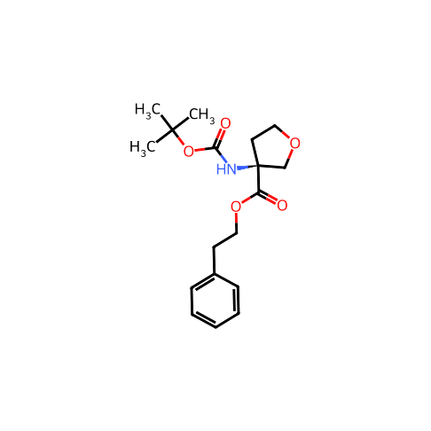 CC(C)(C)OC(=O)N[C@@]1(C(=O)OCCc2ccccc2)CCOC1